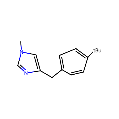 Cn1cnc(Cc2ccc(C(C)(C)C)cc2)c1